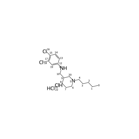 CCCCCN1CCCC(CNc2ccc(Cl)c(Cl)c2)C1.Cl.Cl